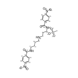 CS(=O)(=O)OC(CCNCCCCNC(=O)c1ccc([N+](=O)[O-])cc1)NC(=O)c1ccc([N+](=O)[O-])cc1